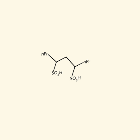 CCCC(CC(CCC)S(=O)(=O)O)S(=O)(=O)O